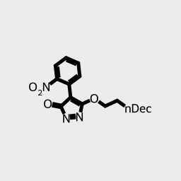 CCCCCCCCCCCCOC1=C(c2ccccc2[N+](=O)[O-])C(=O)N=N1